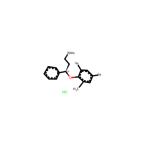 Cl.[2H]c1cc([2H])c(O[C@H](CCNC)c2ccccc2)c(C)c1